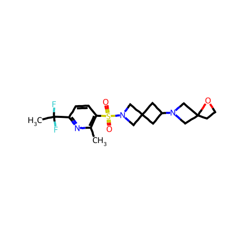 Cc1nc(C(C)(F)F)ccc1S(=O)(=O)N1CC2(CC(N3CC4(CCO4)C3)C2)C1